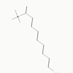 CCCCCCCCCCCCCCCCCCC(C(=O)O)C(Cl)(Cl)C(=O)O